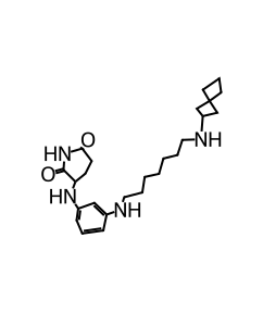 O=C1CCC(Nc2cccc(NCCCCCCCNC3CC4(CCC4)C3)c2)C(=O)N1